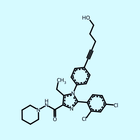 CCc1c(C(=O)NN2CCCCC2)nc(-c2ccc(Cl)cc2Cl)n1-c1ccc(C#CCCCO)cc1